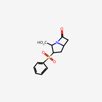 O=C(O)C1C(S(=O)(=O)c2ccccc2)CC2CC(=O)N21